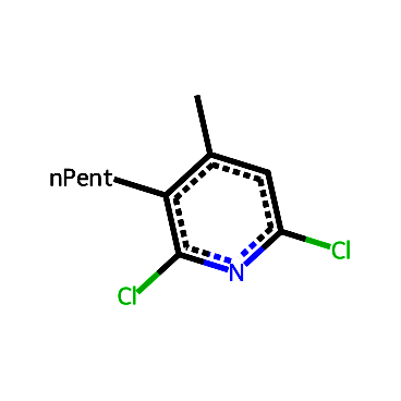 CCCCCc1c(C)cc(Cl)nc1Cl